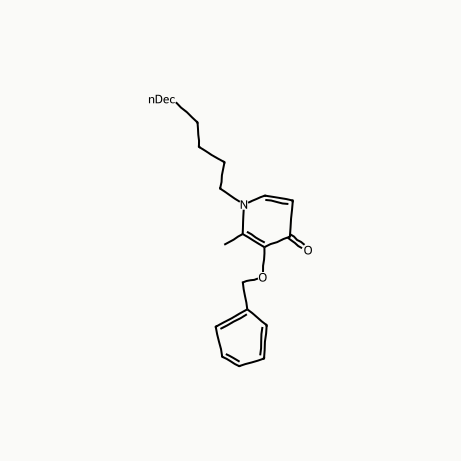 CCCCCCCCCCCCCCn1ccc(=O)c(OCc2ccccc2)c1C